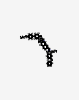 CCCN1/C(=C/C2=CC3=C/C(=C/c4sc5ccc(-c6ccc(SC)cc6)cc5[n+]4CCC)CCC3CC2)Sc2ccc(Sc3ccccc3)cc21